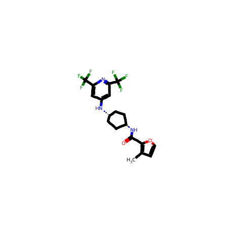 Cc1ccoc1C(=O)N[C@H]1CC[C@@H](Nc2cc(C(F)(F)F)nc(C(F)(F)F)c2)CC1